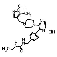 CCNC(=O)NCc1ccc(-c2nccnc2N2CCN(Cc3cnn(C)c3C)CC2)cc1.Cl